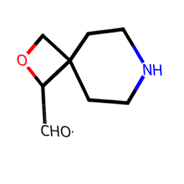 O=[C]C1OCC12CCNCC2